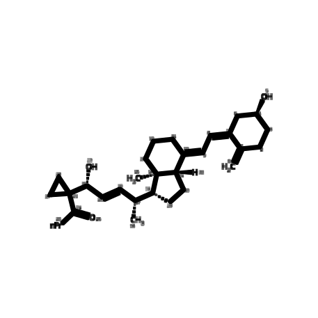 C=C1CC[C@H](O)C/C1=C/C=C1\CCC[C@]2(C)[C@@H]([C@H](C)/C=C/[C@@H](O)C3(C(=O)CCC)CC3)CC[C@@H]12